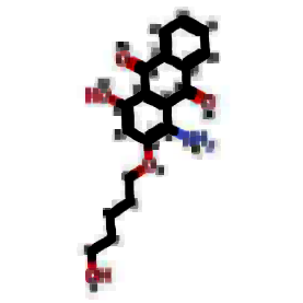 Nc1c(OCCCCCO)cc(O)c2c1C(=O)c1ccccc1C2=O